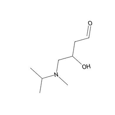 CC(C)N(C)CC(O)CC=O